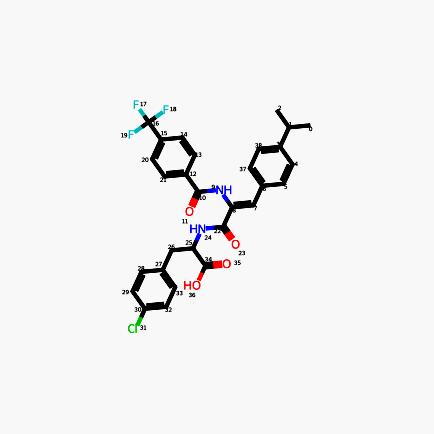 CC(C)c1ccc(C=C(NC(=O)c2ccc(C(F)(F)F)cc2)C(=O)NC(Cc2ccc(Cl)cc2)C(=O)O)cc1